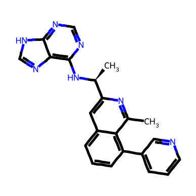 Cc1nc([C@H](C)Nc2ncnc3[nH]cnc23)cc2cccc(-c3cccnc3)c12